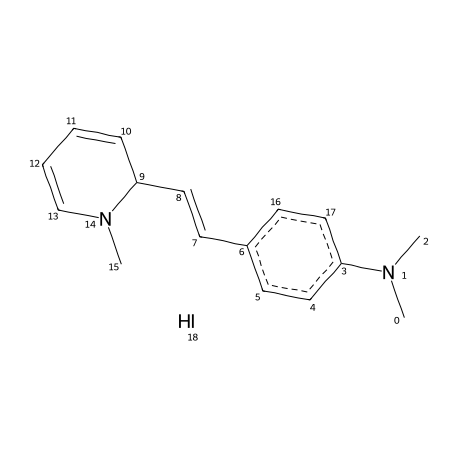 CN(C)c1ccc(C=CC2C=CC=CN2C)cc1.I